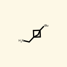 CC(C)(C)C12CC(CN)(C1)C2